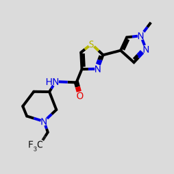 Cn1cc(-c2nc(C(=O)NC3CCCN(CC(F)(F)F)C3)cs2)cn1